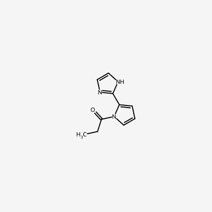 CCC(=O)n1cccc1-c1ncc[nH]1